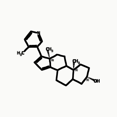 Cc1ccncc1C1=CC=C2C3CCC4C[C@@H](O)CC[C@]4(C)C3CC[C@]12C